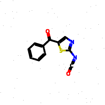 O=C=Nc1ncc(C(=O)c2ccccc2)s1